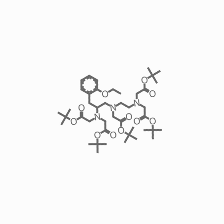 CCOc1ccccc1CC(CN(CCN(CC(=O)OC(C)(C)C)CC(=O)OC(C)(C)C)CC(=O)OC(C)(C)C)N(CC(=O)OC(C)(C)C)CC(=O)OC(C)(C)C